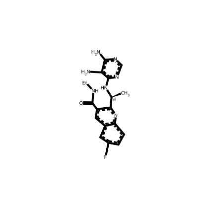 CCNC(=O)c1cc2cc(F)ccc2nc1[C@H](C)Nc1ncnc(N)c1N